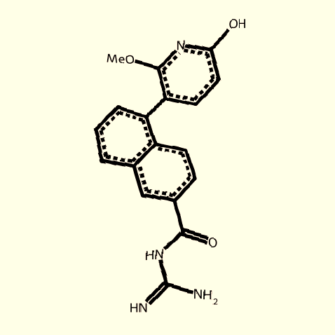 COc1nc(O)ccc1-c1cccc2cc(C(=O)NC(=N)N)ccc12